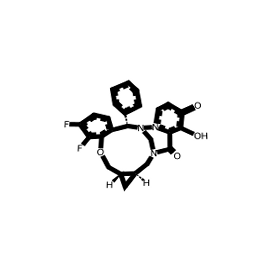 O=C1c2c(O)c(=O)ccn2N2CN1C[C@H]1C[C@@H]1COc1c(ccc(F)c1F)[C@@H]2c1ccccc1